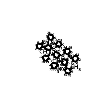 Cc1cccc(C)c1-c1cc2c3c(c1)N(c1ccccc1)c1cc4c(cc1B3c1ccccc1N2c1ccccc1)B1c2ccccc2N(c2ccccc2)c2cc(-c3c(C)cccc3C)cc(c21)N4c1ccccc1